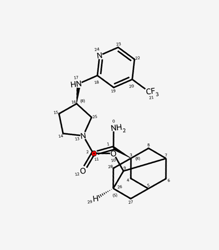 NC(=O)[C@]12CC3CC(C1)C(OC(=O)N1CC[C@@H](Nc4cc(C(F)(F)F)ccn4)C1)[C@@H](C3)C2